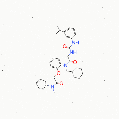 CC(C)c1cccc(NC(=O)NCC(=O)N(CC2CCCCC2)c2ccccc2OCC(=O)N(C)c2ccccc2)c1